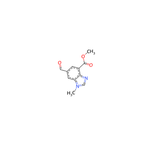 COC(=O)c1cc(C=O)cc2c1ncn2C